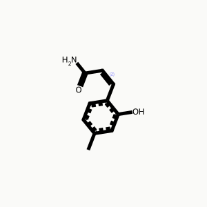 Cc1ccc(/C=C\C(N)=O)c(O)c1